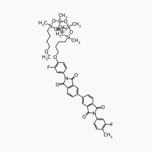 COCCCC[Si](C)(C)O[Si](C)(C)O[Si](C)(C)O[Si](C)(C)CCCCOc1ccc(N2C(=O)c3ccc(-c4ccc5c(c4)C(=O)N(c4ccc(C)c(F)c4)C5=O)cc3C2=O)cc1F